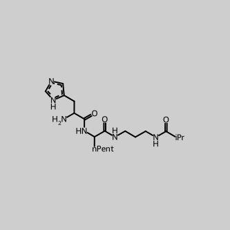 CCCCCC(NC(=O)C(N)Cc1cnc[nH]1)C(=O)NCCCNC(=O)C(C)C